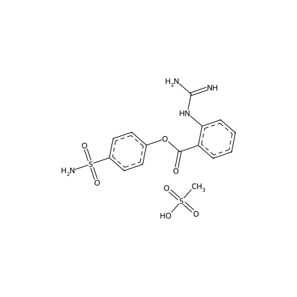 CS(=O)(=O)O.N=C(N)Nc1ccccc1C(=O)Oc1ccc(S(N)(=O)=O)cc1